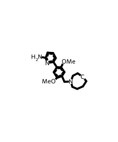 COc1cc(-c2cccc(N)n2)c(OC)cc1CN1CCCCCCC1